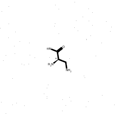 [NH]C(=O)[C@H](N)CN